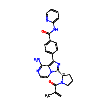 C=C(C(=O)N1CCC[C@H]1c1nc(-c2ccc(C(=O)Nc3ccccn3)cc2)c2c(N)nccn12)C(F)(F)F